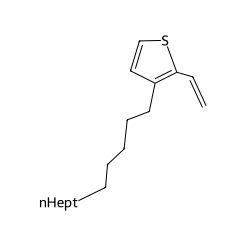 C=Cc1sccc1CCCCCCCCCCCC